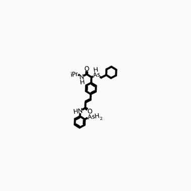 CC(C)NC(=O)C([AsH]CC1CCCCC1)c1ccc(C=CC(=O)Nc2ccccc2[AsH2])cc1